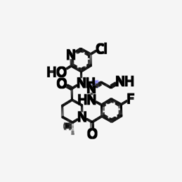 C[C@@H]1CCC(C(=O)Nc2cc(Cl)cnc2O)CN1C(=O)c1ccc(F)cc1N/N=C\C=N